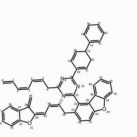 C=C/C=C\C=C/Cc1nc(C2=CCC(c3ccccc3)C=C2)nc(-c2c(C/C=C\C=c3\oc4ccccc4c3=C)ccc3oc4ccccc4c23)n1